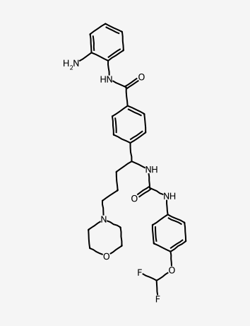 Nc1ccccc1NC(=O)c1ccc(C(CCCN2CCOCC2)NC(=O)Nc2ccc(OC(F)F)cc2)cc1